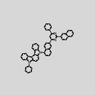 c1ccc(-c2cc(-c3ccc4c(-n5c6ccccc6c6c7c8ccccc8n(-c8ccccc8)c7ccc65)cccc4c3)nc(-c3ccc4ccccc4c3)n2)cc1